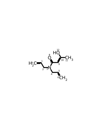 C=CCN(CC=C)C(=O)C=C(C)O